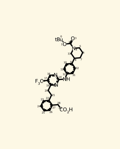 CC(C)(C)OC(=O)N1CCCC(c2ccc(Nc3ncc(C(F)(F)F)c(CCc4ccccc4CC(=O)O)n3)cc2)C1